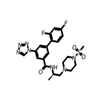 C[C@H](CN1CCN(S(C)(=O)=O)CC1)NC(=O)c1cc(-c2ccc(F)cc2F)cc(-n2cnnn2)c1